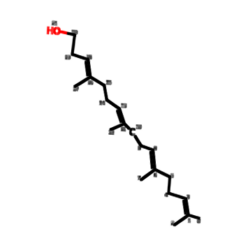 CC(C)=CCC/C(C)=C/CC/C(C)=C/CC/C(C)=C/CCO